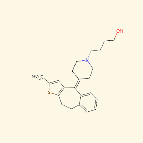 O=C(O)c1cc2c(s1)CCc1ccccc1C2=C1CCN(CCCCO)CC1